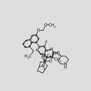 CCc1cccc2cc(OCOC)cc(-c3ncc4c(N5CC6CCC(C5)N6C(=O)OC(C)(C)C)nc(OC5CCNCC5)nc4c3F)c12